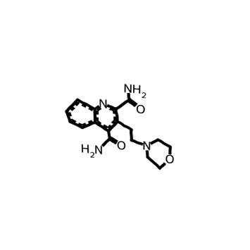 NC(=O)c1nc2ccccc2c(C(N)=O)c1CCN1CCOCC1